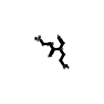 CCCN([C]=O)C(=O)NCC